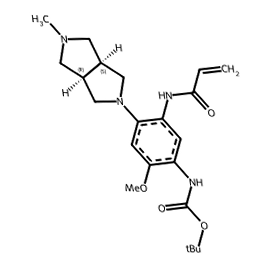 C=CC(=O)Nc1cc(NC(=O)OC(C)(C)C)c(OC)cc1N1C[C@H]2CN(C)C[C@H]2C1